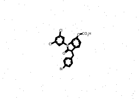 O=C(O)Oc1ccc2c(c1)N(c1cc(Cl)cc(Cl)c1)C(=O)C2Cc1ccc(Br)cc1